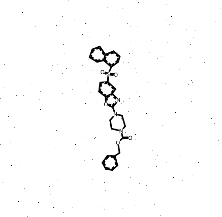 O=C(OCc1ccccc1)N1CCN(c2nc3cc(S(=O)(=O)c4cccc5ccccc45)ccc3o2)CC1